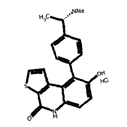 CN[C@@H](C)c1ccc(-c2c(O)ccc3[nH]c(=O)c4sccc4c23)cc1.Cl